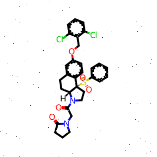 O=C1CCCN1CC(=O)N1CC[C@@]2(S(=O)(=O)c3ccccc3)c3ccc(OCc4c(Cl)cccc4Cl)cc3CC[C@@H]12